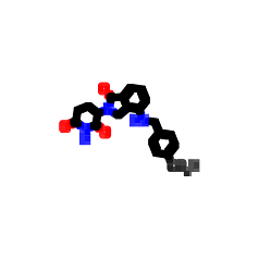 O=C1CCC(N2Cc3c(NCc4ccc(C(=O)O)cc4)cccc3C2=O)C(=O)N1